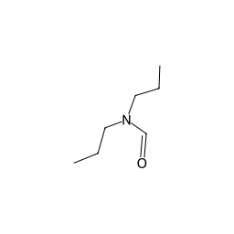 CCCN(C=O)CCC